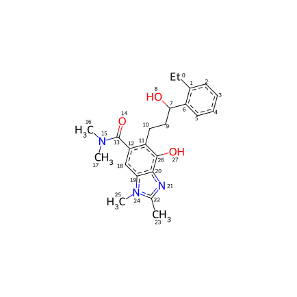 CCc1ccccc1C(O)CCc1c(C(=O)N(C)C)cc2c(nc(C)n2C)c1O